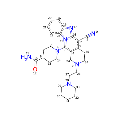 N#Cc1c2c(c(N3CCC(C(N)=O)CC3)n3c1nc1ccccc13)CN(CCN1CCCCC1)CC2